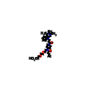 CC(=O)CCC(=O)N(CCOCCOCCC(=O)O)C1CCN(C(=O)CCn2c3c(c4ccccc42)C(C)N(C)N(C)C3)CC1